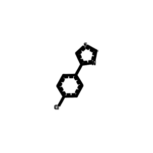 Clc1ccc(-c2cs[c]n2)cc1